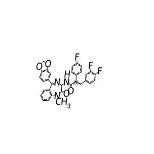 CN1C(=O)C(NC(=O)[C@H](Cc2ccc(F)c(F)c2)c2ccc(F)cc2)N=C(c2ccc3c(c2)OCO3)c2ccccc21